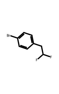 FC(F)Cc1ccc(Br)cc1